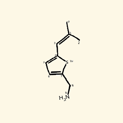 CC(C)=Cc1ccc(CN)s1